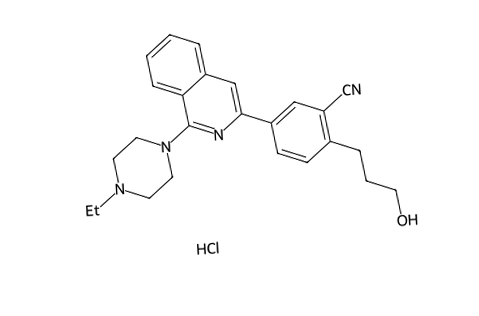 CCN1CCN(c2nc(-c3ccc(CCCO)c(C#N)c3)cc3ccccc23)CC1.Cl